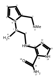 CNCc1cccn1N(C)CNc1nc[nH]c1C(N)=O